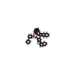 c1ccc(C2=NC(c3cccc(-c4ccccc4)c3)NC(c3cc4oc5ccc6ccccc6c5c4cc3-n3c4cc5ccccc5cc4c4cc5ccccc5cc43)=N2)cc1